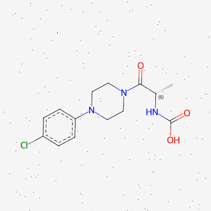 C[C@H](NC(=O)O)C(=O)N1CCN(c2ccc(Cl)cc2)CC1